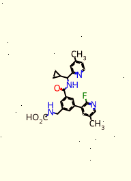 Cc1ccnc(C(NC(=O)c2cc(CNC(=O)O)cc(-c3cc(C)cnc3F)c2)C2CC2)c1